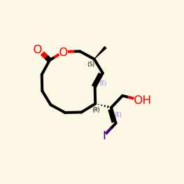 C[C@H]1/C=C/[C@H](/C(=C\I)CO)CCCCCC(=O)OC1